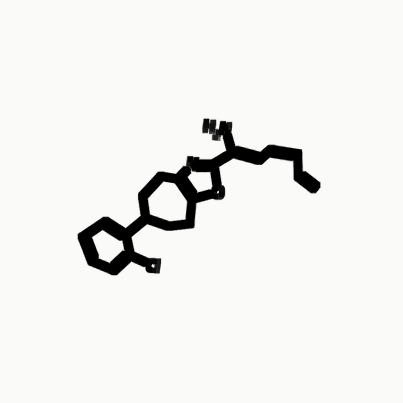 C=C/C=C\C=C(/N)c1nc2c(o1)CCC(c1ccccc1Cl)CC2